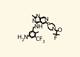 Cc1nc(NCc2cc(N)cc(C(F)(F)F)c2C)c2cc(P3CCN(C(=O)C(C)(C)F)CC3)ncc2n1